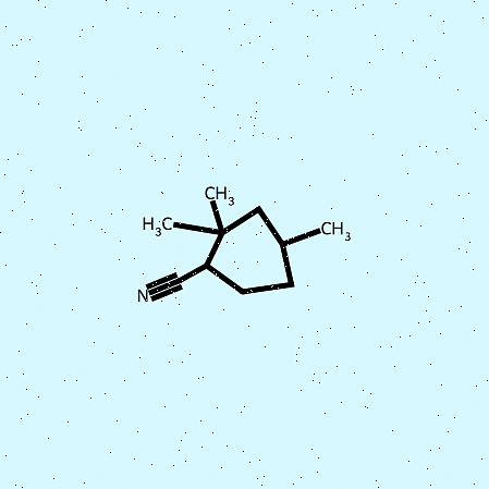 CC1CCC(C#N)C(C)(C)C1